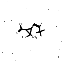 CC1(C)C(/C=C(/F)C(F)(F)F)C1C(=O)O